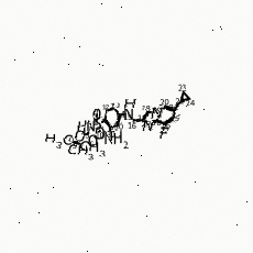 CC(C)(C)OC(=O)NS(=O)(=O)c1ccc(NCc2cn3cc(C4CC4)cc(F)c3n2)cc1N